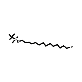 CC(C)(C)[Si](C)(C)OCCCCCCCCCCCCCCBr